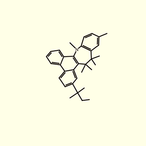 CCC(C)(C)c1ccc2c(c1)c1c(c3ccccc32)N(C)c2ccc(C)cc2C(C)(C)C1(C)C